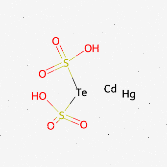 O=S(=O)(O)[Te]S(=O)(=O)O.[Cd].[Hg]